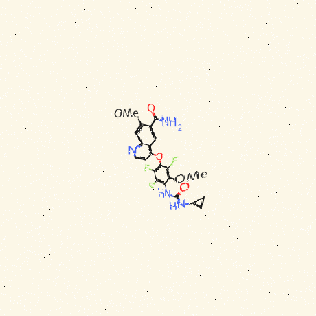 COc1cc2nccc(Oc3c(F)c(F)c(NC(=O)NC4CC4)c(OC)c3F)c2cc1C(N)=O